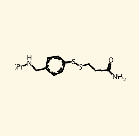 CC(C)NCc1ccc(SSCCC(N)=O)cc1